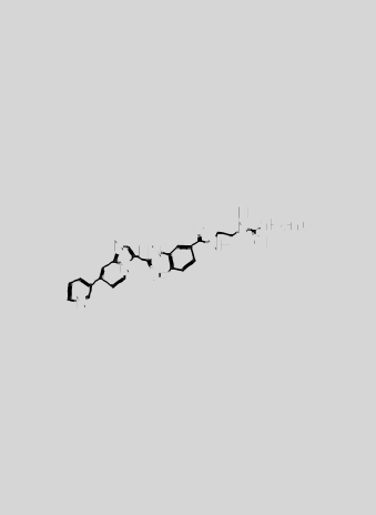 CCCCC[C@@H](C)NCCNC(=O)c1ccc(F)c(NC(=O)c2cnc3cc(-c4cccnc4)ccn23)c1